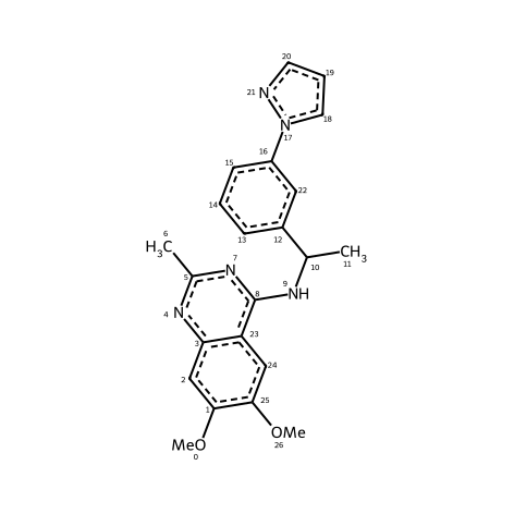 COc1cc2nc(C)nc(NC(C)c3cccc(-n4cccn4)c3)c2cc1OC